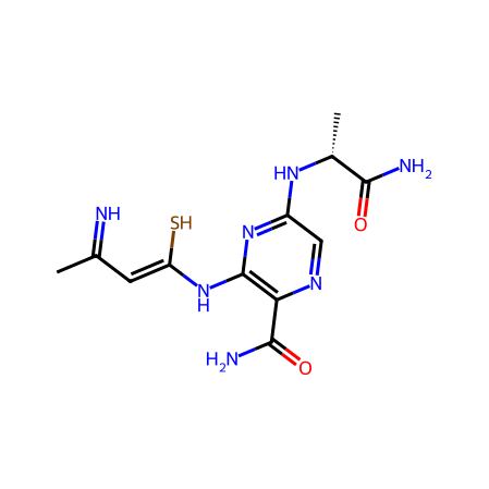 CC(=N)/C=C(\S)Nc1nc(N[C@H](C)C(N)=O)cnc1C(N)=O